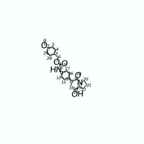 COc1ccc(COC(=O)Nc2ccc([C@H](C)C(=O)N3CCC[C@H]3CO)cc2)cc1